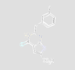 Cc1cccc(Cc2nc3sc(C(=O)O)cc3c(=O)[nH]2)c1